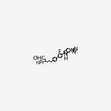 CCCC(CC=O)CCCc1ccc(-c2ccc(-c3cc4c([nH]3)=CC(n3cncn3)CC=4)c(F)c2)cc1